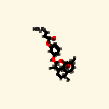 C[C@@H]1CCC2[C@@H](C)[C@@H](Oc3cccc(OC(=O)CCC(=O)O)c3)O[C@H]3O[C@@]4(C)CCC1[C@@]23OO4